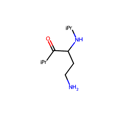 CC(C)NC(CCN)C(=O)C(C)C